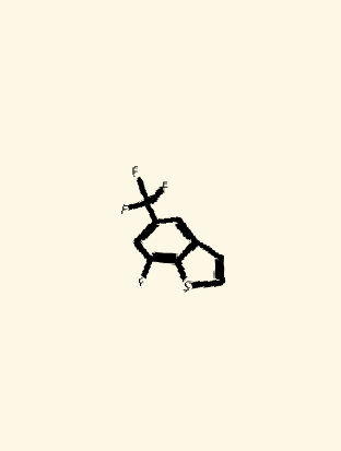 Fc1cc(C(F)(F)F)cc2c[c]sc12